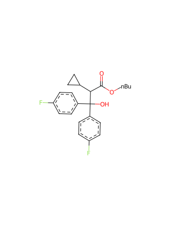 CCCCOC(=O)C(C1CC1)C(O)(c1ccc(F)cc1)c1ccc(F)cc1